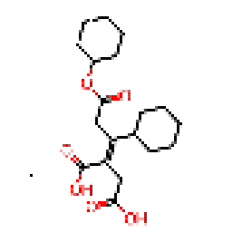 O=C(O)CC(C(=O)O)=C(CC(=O)OC1CCCCC1)C1CCCCC1